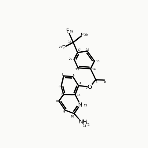 CC(Oc1cccc2ccc(N)nc12)c1ccc(C(F)(F)F)cc1